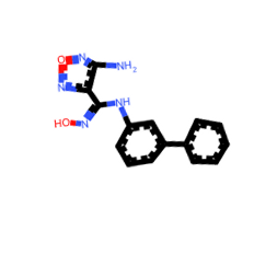 Nc1nonc1/C(=N\O)Nc1cccc(-c2ccccc2)c1